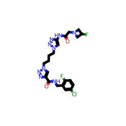 O=C(CN1CC(F)C1)Nc1cn(CCCCn2cc(C(=O)NCc3cc(Cl)ccc3F)nn2)nn1